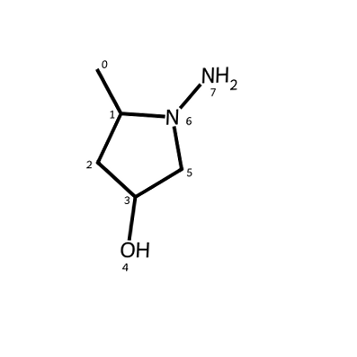 CC1CC(O)CN1N